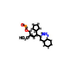 N[C@H](CC1CCCCC1)C(/C=C(\COP=O)C(=O)O)C1CCCC1